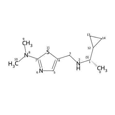 C[C@H](NCc1cnc(N(C)C)s1)C1CC1